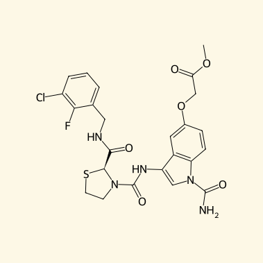 COC(=O)COc1ccc2c(c1)c(NC(=O)N1CCS[C@H]1C(=O)NCc1cccc(Cl)c1F)cn2C(N)=O